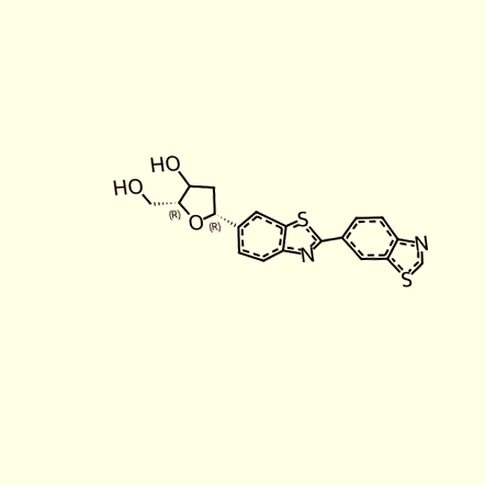 OC[C@H]1O[C@@H](c2ccc3nc(-c4ccc5ncsc5c4)sc3c2)CC1O